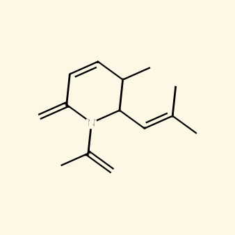 C=C(C)N1C(=C)C=CC(C)C1C=C(C)C